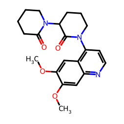 COc1cc2nccc(N3CCCC(N4CCCCC4=O)C3=O)c2cc1OC